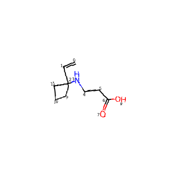 C=CC1(NCCC(=O)O)CCC1